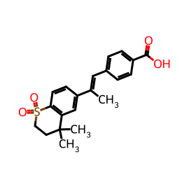 C/C(=C\c1ccc(C(=O)O)cc1)c1ccc2c(c1)C(C)(C)CCS2(=O)=O